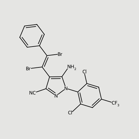 N#Cc1nn(-c2c(Cl)cc(C(F)(F)F)cc2Cl)c(N)c1C(Br)=C(Br)c1ccccc1